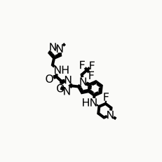 CN1CC[C@@H](Nc2cccc3c2cc(-c2noc(C(=O)NCc4cnn(C)c4)n2)n3CC(F)(F)F)[C@@H](F)C1